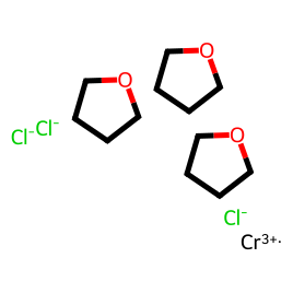 C1CCOC1.C1CCOC1.C1CCOC1.[Cl-].[Cl-].[Cl-].[Cr+3]